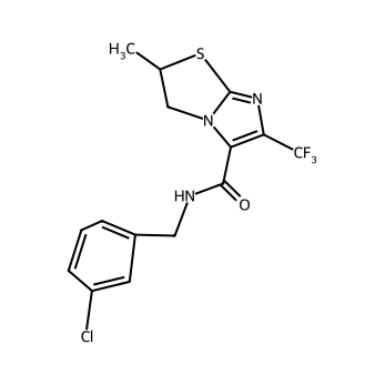 CC1Cn2c(nc(C(F)(F)F)c2C(=O)NCc2cccc(Cl)c2)S1